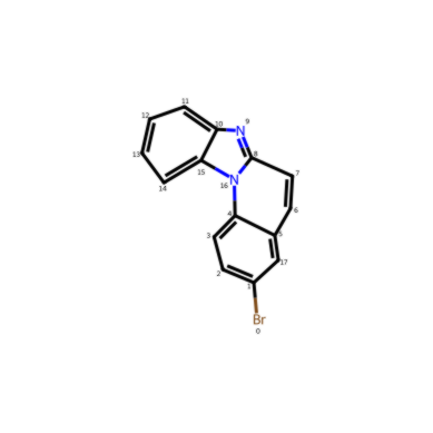 Brc1ccc2c(ccc3nc4ccccc4n32)c1